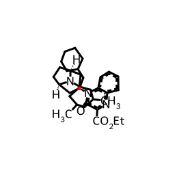 CCOC(=O)c1nc2ccccc2n([C@H]2C[C@H]3CC[C@@H](C2)N3C2(CC3CCCCC3)CC(C)CC(C)C2)c1=O